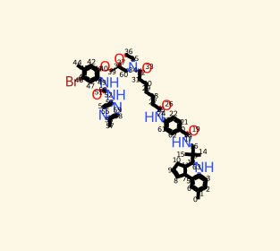 Cc1ccc2c(c1)C1C=CCC1C(C(C)(C)CNC(=O)c1ccc(NC(=O)CCCCCC(=O)N3CCO[C@H](COc4cc(C)c(Br)cc4NC(=O)Nc4cnc(C)cn4)C3)cc1)N2